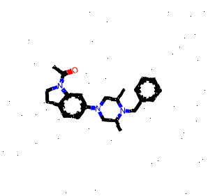 CC(=O)N1CCc2ccc(N3CC(C)N(Cc4ccccc4)C(C)C3)cc21